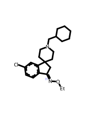 CCO/N=C1\CC2(CCN(CC3CCCCC3)CC2)c2cc(Cl)ccc21